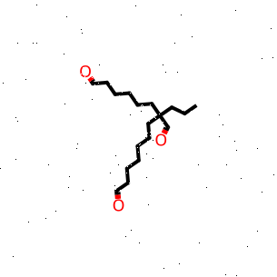 CCCC(C=O)(CCCCCC=O)CCCCCCC=O